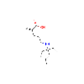 C=C(CCCNC(CC)(CC)CCC)C(=O)O